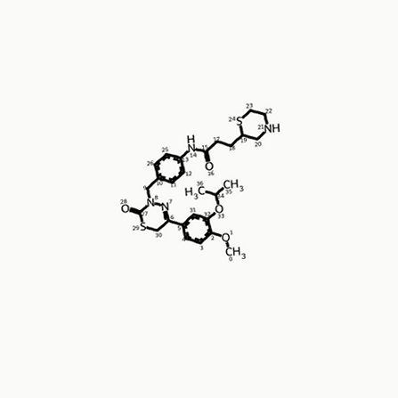 COc1ccc(C2=NN(Cc3ccc(NC(=O)CCC4CNCCS4)cc3)C(=O)SC2)cc1OC(C)C